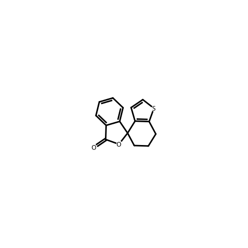 O=C1OC2(CCCc3sccc32)c2ccccc21